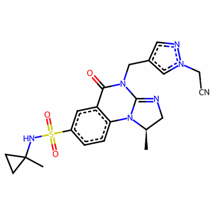 C[C@@H]1CN=C2N(Cc3cnn(CC#N)c3)C(=O)c3cc(S(=O)(=O)NC4(C)CC4)ccc3N21